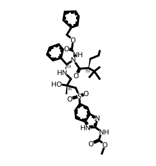 CCC[C@H](C(=O)N(NC(=O)OCc1ccccc1)[C@H](NC[C@@](C)(O)CS(=O)(=O)c1ccc2[nH]c(NC(=O)OC)nc2c1)c1ccccc1)C(C)(C)C